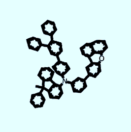 CC1(c2ccccc2)c2ccccc2-c2c(N(c3ccc(-c4ccc(-c5ccccc5)c(-c5ccccc5)c4)cc3)c3cccc(-c4ccc5c(c4)-c4cccc6cccc(c46)O5)c3)cccc21